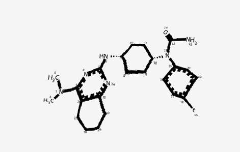 CN(C)c1nc(N[C@H]2CC[C@@H](N(C(N)=O)c3ccc(F)cc3)CC2)nc2c1CCCC2